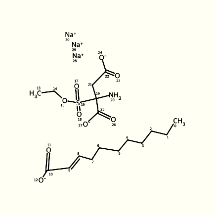 CCCCCCCCC=CC(=O)[O-].CCOS(=O)(=O)C(N)(CC(=O)[O-])C(=O)[O-].[Na+].[Na+].[Na+]